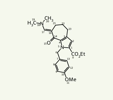 CCOC(=O)c1cc2c(n1Cc1ccc(OC)cc1)C(=O)C(=CN(C)C)CCC2